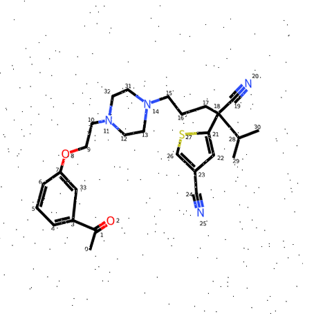 CC(=O)c1cccc(OCCN2CCN(CCCC(C#N)(c3cc(C#N)cs3)C(C)C)CC2)c1